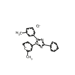 Cc1cccc(-n2nc(-c3ccccc3)n[n+]2-c2cccc(C)c2)c1.[Cl-]